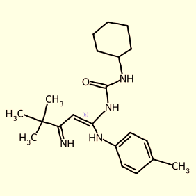 Cc1ccc(N/C(=C\C(=N)C(C)(C)C)NC(=O)NC2CCCCC2)cc1